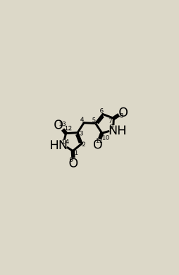 O=C1C=C(CC2=CC(=O)NC2=O)C(=O)N1